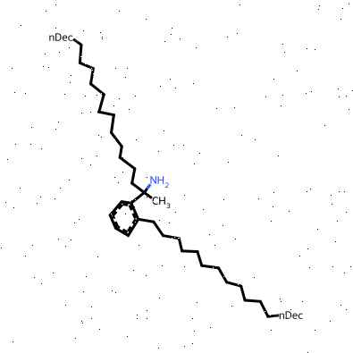 CCCCCCCCCCCCCCCCCCCCCCc1ccccc1C(C)(N)CCCCCCCCCCCCCCCCCCCCCC